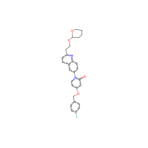 O=c1cc(OCc2ccc(F)cc2)ccn1-c1ccc2nc(CCOC3CCCCO3)ccc2c1